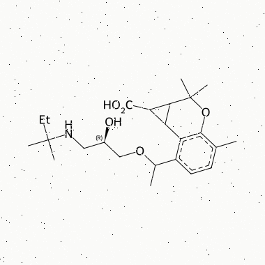 CCC(C)(C)NC[C@@H](O)COC(C)c1ccc(C)c2c1C1C(C(=O)O)C1C(C)(C)O2